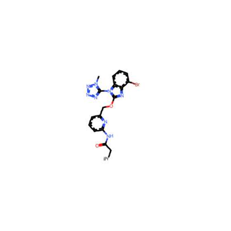 CC(C)CC(=O)Nc1cccc(COc2nc3c(Br)cccc3n2-c2nnnn2C)n1